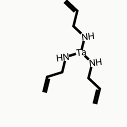 C=CC[NH][Ta]([NH]CC=C)[NH]CC=C